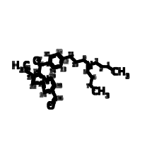 CCCCN(CCCC)CCCc1ccc(C(=O)c2c(CC)cc3cc([C]=O)ccn23)cc1